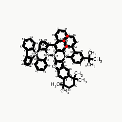 CC(C)(C)c1ccc(N2c3cc4ccccc4c4c3B(c3oc5cc6c(cc5c32)C(C)(C)CCC6(C)C)N2c3ccccc3[Si]3(c5ccccc5-c5ccccc53)c3cccc-4c32)c(-c2ccccc2)c1